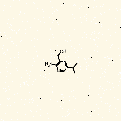 CC(C)c1cnc(N)c(CO)c1